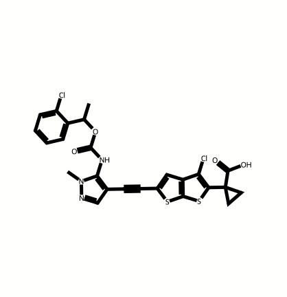 CC(OC(=O)Nc1c(C#Cc2cc3c(Cl)c(C4(C(=O)O)CC4)sc3s2)cnn1C)c1ccccc1Cl